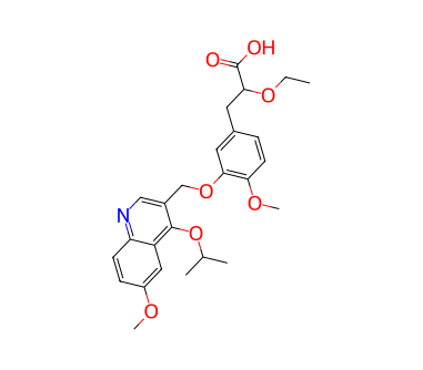 CCOC(Cc1ccc(OC)c(OCc2cnc3ccc(OC)cc3c2OC(C)C)c1)C(=O)O